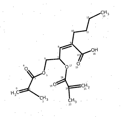 C=C(C)C(=O)OCC(C=C(CCCC)C(=O)O)OC(=O)C(=C)C